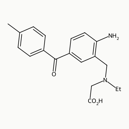 CCN(CC(=O)O)Cc1cc(C(=O)c2ccc(C)cc2)ccc1N